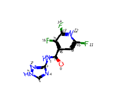 O=C(Nc1nc[nH]n1)c1cc(F)nc(F)c1F